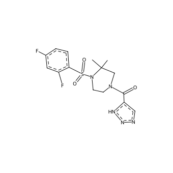 CC1(C)CN(C(=O)c2cnn[nH]2)CCN1S(=O)(=O)c1ccc(F)cc1F